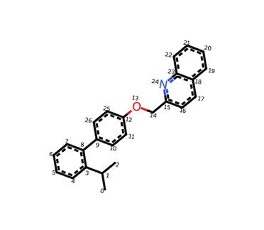 CC(C)c1ccccc1-c1ccc(OCc2ccc3ccccc3n2)cc1